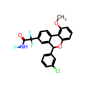 COc1cccc2c1-c1ccc(C(F)(F)C(=O)NF)cc1C(c1cccc(Cl)c1)O2